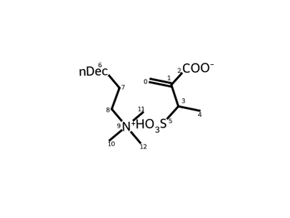 C=C(C(=O)[O-])C(C)S(=O)(=O)O.CCCCCCCCCCCC[N+](C)(C)C